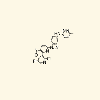 CC(=O)c1ccc(-n2cnc3cc(Nc4ccc(C)nn4)ccc32)nc1-c1cc(F)cnc1Cl